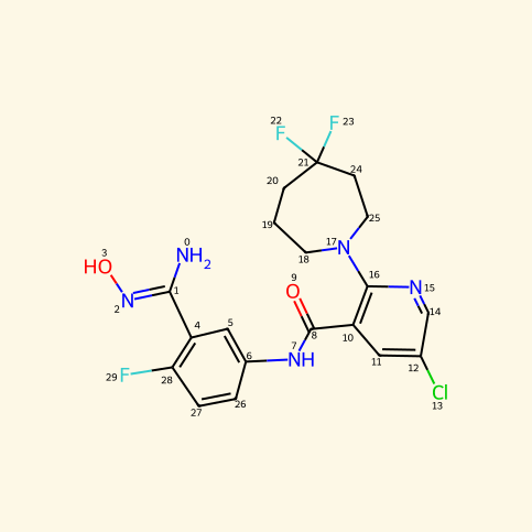 NC(=NO)c1cc(NC(=O)c2cc(Cl)cnc2N2CCCC(F)(F)CC2)ccc1F